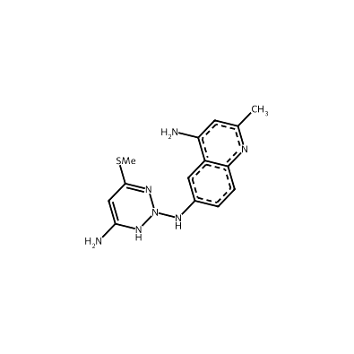 CSC1=NN(Nc2ccc3nc(C)cc(N)c3c2)NC(N)=C1